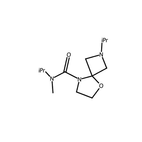 CC(C)N1CC2(C1)OCCN2C(=O)N(C)C(C)C